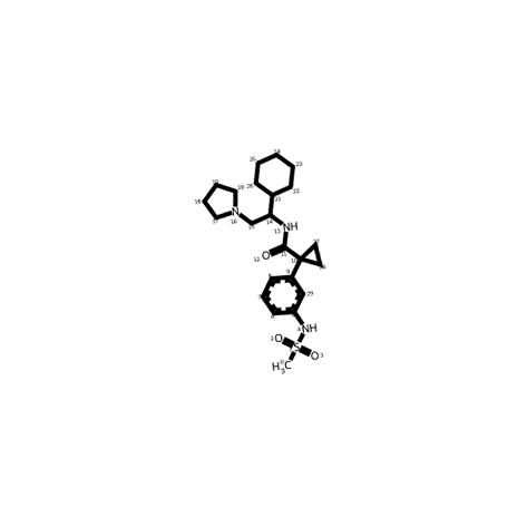 CS(=O)(=O)Nc1cccc(C2(C(=O)NC(CN3CCCC3)C3CCCCC3)CC2)c1